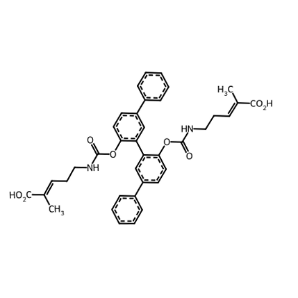 CC(=CCCNC(=O)Oc1ccc(-c2ccccc2)cc1-c1cc(-c2ccccc2)ccc1OC(=O)NCCC=C(C)C(=O)O)C(=O)O